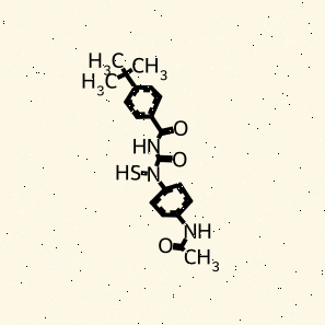 CC(=O)Nc1ccc(N(S)C(=O)NC(=O)c2ccc(C(C)(C)C)cc2)cc1